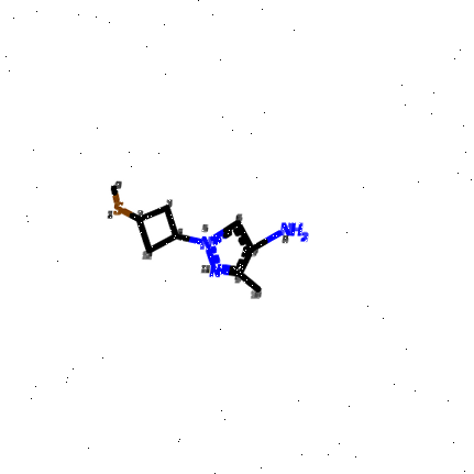 CSC1CC(n2cc(N)c(C)n2)C1